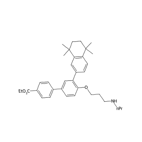 CCCNCCCOc1ccc(-c2ccc(C(=O)OCC)cc2)cc1-c1ccc2c(c1)C(C)(C)CCC2(C)C